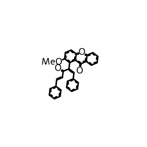 COc1ccc2oc3ccccc3c(=O)c2c1C(=Cc1ccccc1)C(=O)C=Cc1ccccc1